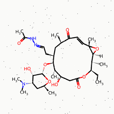 CC[C@H]1OC(=O)C[C@@H](O)[C@H](C)[C@@H](O[C@@H]2O[C@@H](C)C[C@H](N(C)C)[C@@H]2O)[C@@H](C/C=N/NC(C)=O)C[C@@H](C)C(=O)/C=C/[C@]2(C)O[C@H]2[C@@H]1C